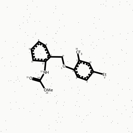 CCc1ccc(OCc2ccccc2NC(=O)OC)c(C(F)(F)F)c1